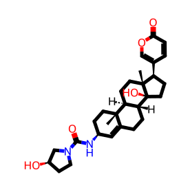 C[C@]12CC[C@H](NC(=O)N3CC[C@@H](O)C3)C=C1CC[C@@H]1[C@@H]2CC[C@]2(C)[C@@H](c3ccc(=O)oc3)CC[C@]12O